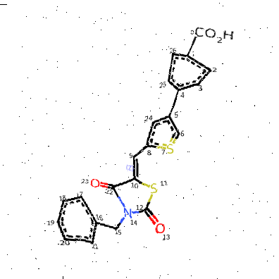 O=C(O)c1ccc(-c2csc(/C=C3\SC(=O)N(Cc4ccccc4)C3=O)c2)cc1